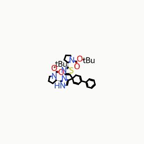 CC(C)(C)OC(=O)N1CCC[C@H]1c1nc(C2(c3cnc([C@@H]4CCCN4C(=O)OC(C)(C)C)s3)C=CC(c3ccccc3)=CC2)c[nH]1